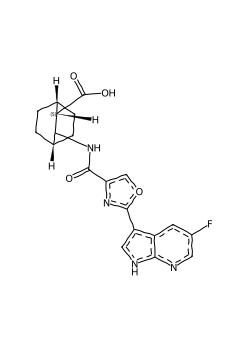 O=C(NC1[C@H]2CC[C@H](CC2)[C@@H]1C(=O)O)c1coc(-c2c[nH]c3ncc(F)cc23)n1